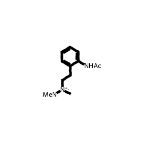 CN[N+](C)CCc1ccccc1NC(C)=O